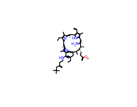 C=Cc1c2[nH]c(c1C)/C=C(\N)[C@@H](C)[C@H](CCC(=C)OC)C(C)/C(CC(=C)CC)=c1\[nH]/c(c(C)c1C(=C)NCCC(=C)CC(C)(C)C)=C\C1=NC(=C\2)/C(C)=C1CC